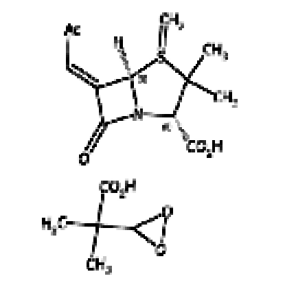 C=S1[C@@H]2C(=CC(C)=O)C(=O)N2[C@@H](C(=O)O)C1(C)C.CC(C)(C(=O)O)C1OO1